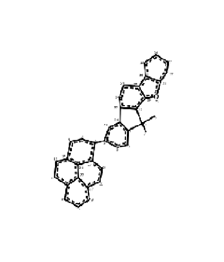 CC1(C)c2ccc(-c3ccc4ccc5cccc6ccc3c4c56)cc2-c2ccc3c(oc4ccccc43)c21